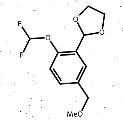 COCc1ccc(OC(F)F)c(C2OCCO2)c1